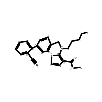 CCCCCN(Cc1ccc(-c2ccccc2C#N)cc1)c1sccc1C(=O)OC